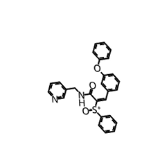 O=C(NCc1cccnc1)/C(=C\c1cccc(Oc2ccccc2)c1)[S+]([O-])c1ccccc1